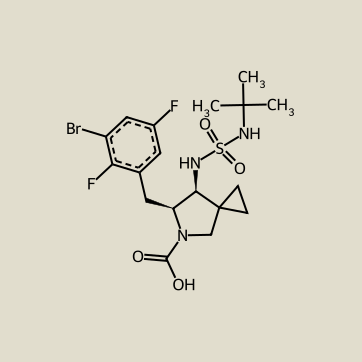 CC(C)(C)NS(=O)(=O)N[C@@H]1[C@H](Cc2cc(F)cc(Br)c2F)N(C(=O)O)CC12CC2